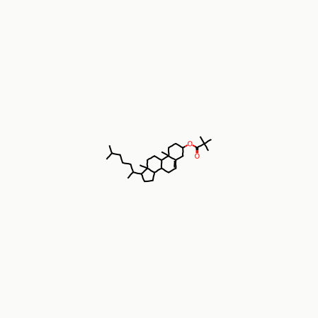 CC(C)CCCC(C)C1CCC2C3CC=C4CC(OC(=O)C(C)(C)C)CCC4(C)C3CCC12C